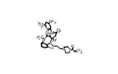 C=CC(=O)N1CCN(CCCN2C[C@H]3CC(=O)N(c4cc(C(F)(F)F)cc(C)n4)[C@@H]3C(=O)N(C)c3cccc(Cl)c32)CC1